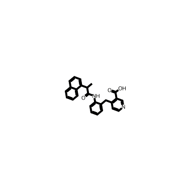 CC(C(=O)Nc1ccccc1Cc1ccncc1C(=O)O)c1cccc2ccccc12